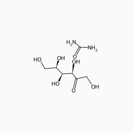 NC(N)=O.O=C(CO)[C@H](O)[C@@H](O)[C@H](O)CO